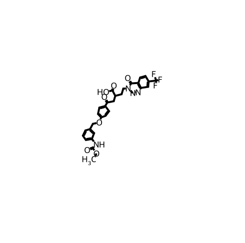 COC(=O)Nc1cccc(COc2ccc(C(=O)CC(CCn3nnc4cc(C(F)(F)F)ccc4c3=O)C(=O)O)cc2)c1